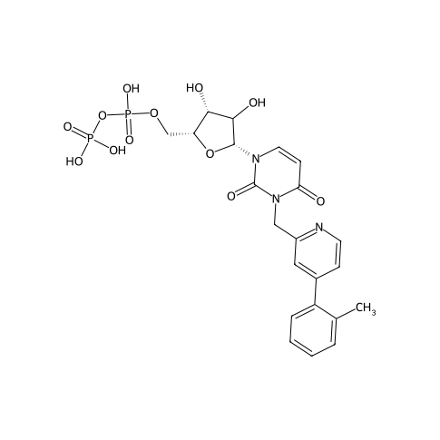 Cc1ccccc1-c1ccnc(Cn2c(=O)ccn([C@@H]3O[C@H](COP(=O)(O)OP(=O)(O)O)[C@H](O)C3O)c2=O)c1